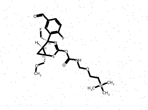 COC[C@]12C[C@H]1[C@@](CF)(c1cc(C=O)ccc1F)N=C(OC(=O)NCOCC[Si](C)(C)C)S2